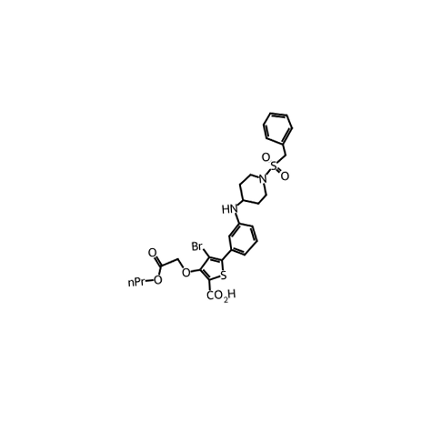 CCCOC(=O)COc1c(C(=O)O)sc(-c2cccc(NC3CCN(S(=O)(=O)Cc4ccccc4)CC3)c2)c1Br